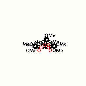 COc1cc(OC)c(C(=O)OCC(COC(=O)c2c(OC)cc(OC)cc2OC)OC(=O)c2c(OC)cc(OC)cc2OC)c(OC)c1